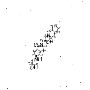 CC(C)(O)CNc1ccc2c(c1)CCN(CC(O)CN1CCc3ccccc3C1)C2=O